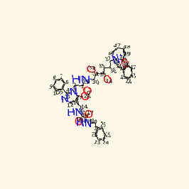 O=C(Cn1c(-c2ccccc2)ncc(CNS(=O)(=O)NCc2ccccc2)c1=O)NCC(=O)C(=O)CCC[N+]1(Cc2ccccc2)C=CC=CC1=O